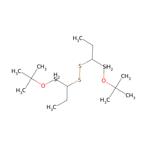 CCC([SiH2]OC(C)(C)C)SSC(CC)[SiH2]OC(C)(C)C